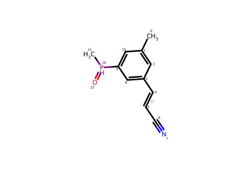 Cc1cc(/C=C/C#N)cc([PH](C)=O)c1